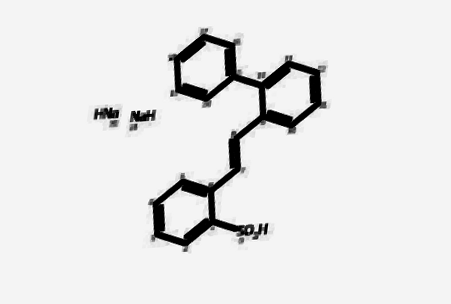 O=S(=O)(O)c1ccccc1C=Cc1ccccc1-c1ccccc1.[NaH].[NaH]